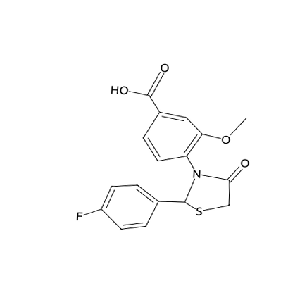 COc1cc(C(=O)O)ccc1N1C(=O)CSC1c1ccc(F)cc1